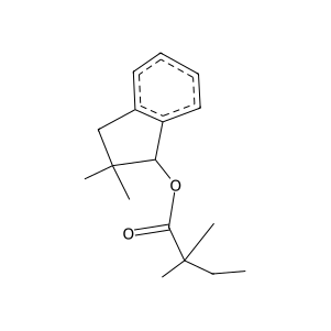 CCC(C)(C)C(=O)OC1c2ccccc2CC1(C)C